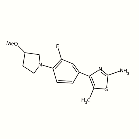 COC1CCN(c2ccc(-c3nc(N)sc3C)cc2F)C1